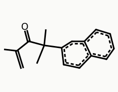 C=C(C)C(=O)C(C)(C)c1ccc2ccccc2c1